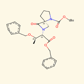 C[C@@H](OCc1ccccc1)[C@@H](C(=O)OCc1ccccc1)N1C[C@@]2(CCCN2C(=O)OC(C)(C)C)C1=O